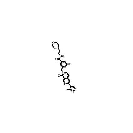 Cc1nocc1-c1cc2ccn(Cc3cc(F)cc(C(=O)NCCN4CCOCC4)c3)c(=O)c2cn1